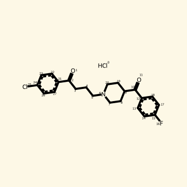 Cl.O=C(CCCN1CCC(C(=O)c2ccc(F)cc2)CC1)c1ccc(Cl)cc1